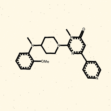 COc1ccccc1N(C)C1CCN(c2nc(-c3ccncc3)cc(=O)n2C)CC1